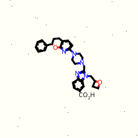 O=C(O)c1ccc2nc(CN3CCN(c4ccc5c(n4)OC(c4ccccc4)CC5)CC3)n(CC3CCO3)c2c1